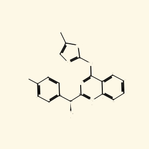 Cc1cnc(Nc2nc([C@@H](O)c3ccc(F)cc3)nc3ccccc23)s1